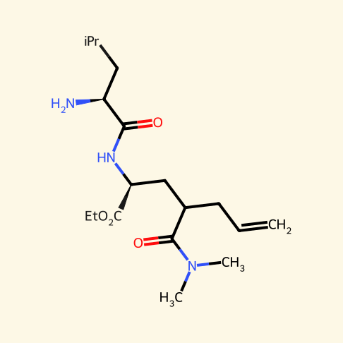 C=CCC(C[C@H](NC(=O)[C@@H](N)CC(C)C)C(=O)OCC)C(=O)N(C)C